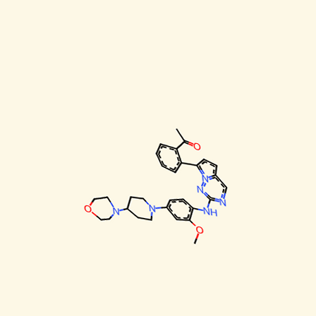 COc1cc(N2CCC(N3CCOCC3)CC2)ccc1Nc1ncc2ccc(-c3ccccc3C(C)=O)n2n1